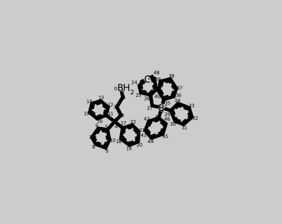 BCCCC(c1ccccc1)(c1ccccc1)c1ccccc1.c1ccc(C[B-](c2ccccc2)(c2ccccc2)c2ccccc2)cc1